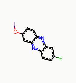 Fc1ccc2nc3cc(OI)ccc3nc2c1